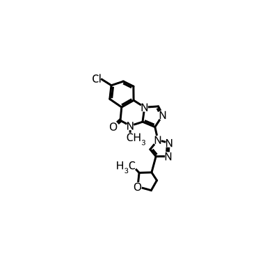 CC1OCCC1c1cn(-c2ncn3c4ccc(Cl)cc4c(=O)n(C)c23)nn1